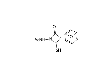 CC(=O)NN1C(=O)CC1S.c1cc2cc(c1)O2